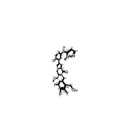 COC[C@H]1Cn2cc(-c3cc(Nc4ccnn4C)ncc3Cl)cc2C(=O)N1Cc1cc(F)c(F)c(F)c1CO